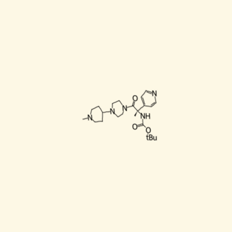 CN1CCC(N2CCN(C(=O)[C@@](C)(NC(=O)OC(C)(C)C)c3ccncc3)CC2)CC1